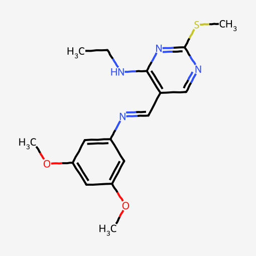 CCNc1nc(SC)ncc1C=Nc1cc(OC)cc(OC)c1